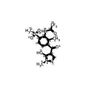 Cc1c(C(=O)c2cnn(C)c2O)ccc(S(C)(=O)=O)c1NC(=O)C(F)(F)F